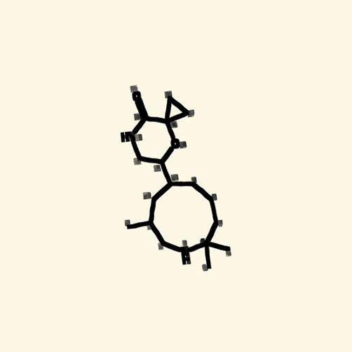 CC1CNC(C)(C)CCCC(C2CNC(=O)C3(CC3)O2)C1